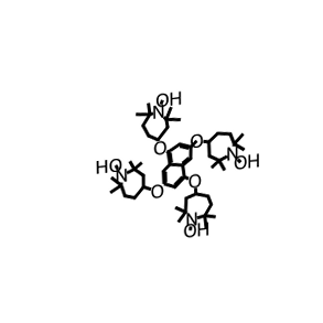 CC1(C)CCC(Oc2cc(OC3CCC(C)(C)N(O)C(C)(C)C3)c3cc(OC4CCC(C)(C)N(O)C(C)(C)C4)cc(OC4CCC(C)(C)N(O)C(C)(C)C4)c3c2)CC(C)(C)N1O